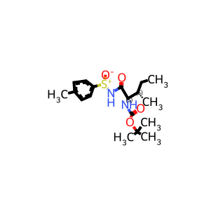 CC[C@H](C)[C@H](NC(=O)OC(C)(C)C)C(=O)N[S+]([O-])c1ccc(C)cc1